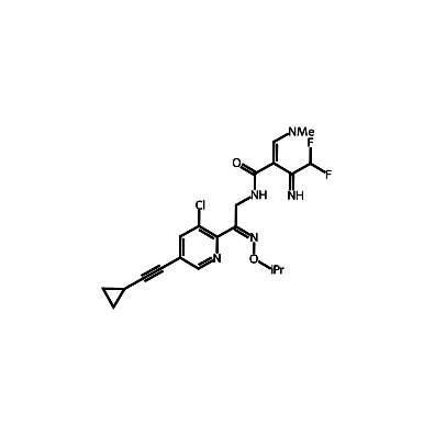 CN/C=C(\C(=N)C(F)F)C(=O)NC/C(=N/OC(C)C)c1ncc(C#CC2CC2)cc1Cl